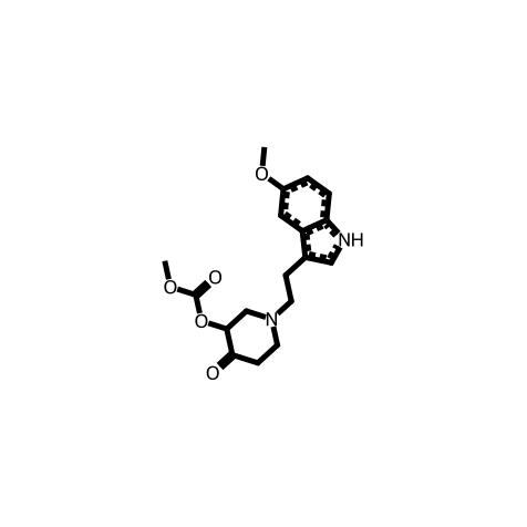 COC(=O)OC1CN(CCc2c[nH]c3ccc(OC)cc23)CCC1=O